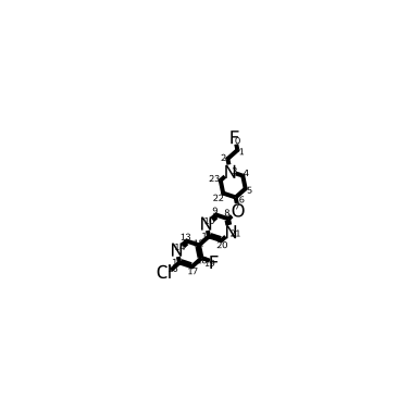 FCCN1CCC(Oc2cnc(-c3cnc(Cl)cc3F)cn2)CC1